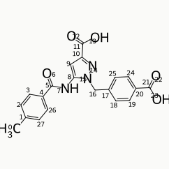 Cc1ccc(C(=O)Nc2cc(C(=O)O)nn2Cc2ccc(C(=O)O)cc2)cc1